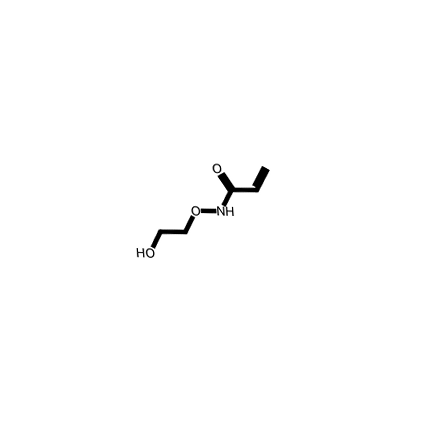 C=CC(=O)NOCCO